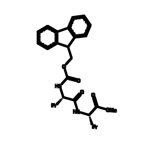 COC(=O)[C@@H](NC(=O)[C@@H](NC(=O)OCC1c2ccccc2-c2ccccc21)C(C)C)C(C)C